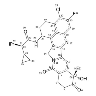 CC[C@@]1(O)C(=O)CCc2c1cc1n(c2=O)Cc2c-1nc1cc(F)c(Cl)c3c1c2C(NC(=O)[C@H](C(C)C)C1CC1)CC3